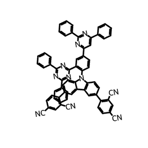 N#Cc1ccc(-c2ccc3c(c2)c2cc(-c4ccc(C#N)cc4C#N)ccc2n3-c2ccc(-c3cc(-c4ccccc4)nc(-c4ccccc4)n3)cc2-c2nc(-c3ccccc3)nc(-c3ccccc3)n2)c(C#N)c1